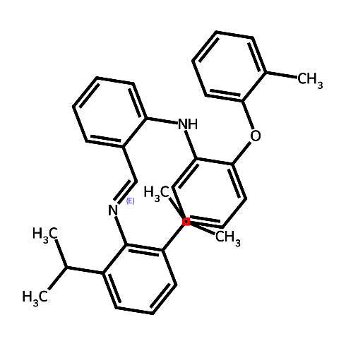 Cc1ccccc1Oc1ccccc1Nc1ccccc1/C=N/c1c(C(C)C)cccc1C(C)C